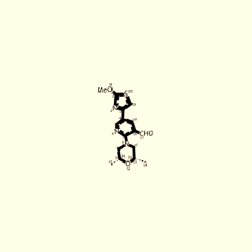 COc1nc(-c2cnc(N3C[C@@H](C)O[C@@H](C)C3)c(C=O)c2)cs1